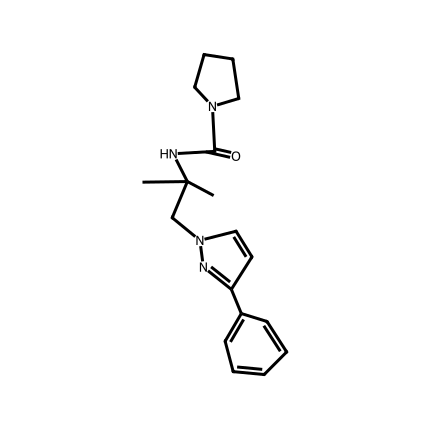 CC(C)(Cn1ccc(-c2ccccc2)n1)NC(=O)N1CCCC1